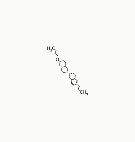 CC=CCOC1CCC2CC(C3CCc4cc(C=CC)ccc4C3)CCC2C1